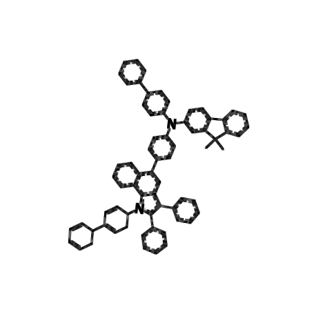 CC1(C)c2ccccc2-c2ccc(N(c3ccc(-c4ccccc4)cc3)c3ccc(-c4cc5c(-c6ccccc6)c(-c6ccccc6)n(C6C=CC(C7C=CC=CC7)=CC6)c5c5ccccc45)cc3)cc21